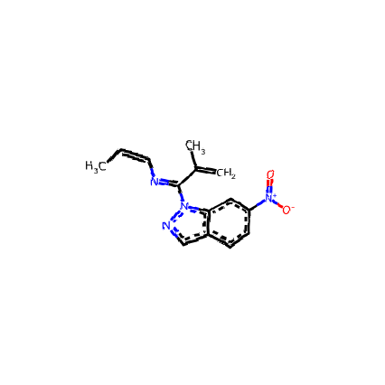 C=C(C)/C(=N\C=C/C)n1ncc2ccc([N+](=O)[O-])cc21